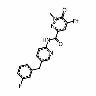 CCc1cc(C(=O)Nc2ccc(Cc3cccc(F)c3)cn2)nn(C)c1=O